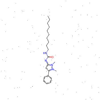 CCCCCCCCCCNC(=O)N=c1cc(-c2ccccc2)n(C)n1C